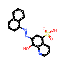 O=S(=O)(O)c1cc(N=Nc2cccc3ccccc23)c(O)c2ncccc12